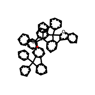 c1ccc(N(c2ccc3c(c2)C(c2ccccc2)(c2ccccc2)c2ccccc2-3)c2ccc3c(c2)C2(c4ccccc4-3)c3oc4ccccc4c3-c3cccc(N(c4ccccc4)c4ccccc4)c32)cc1